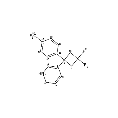 FC1(F)CC(C2=[C]NCC=C2)(c2ccc(C(F)(F)F)cc2)C1